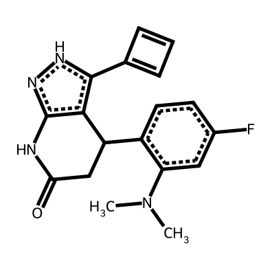 CN(C)c1cc(F)ccc1C1CC(=O)Nc2n[nH]c(C3=CC=C3)c21